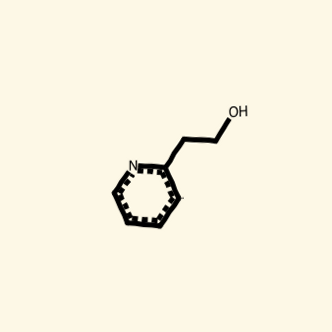 OCCc1[c]cccn1